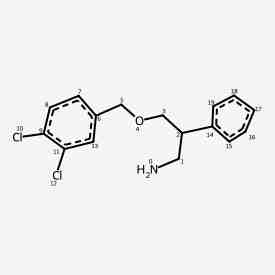 NCC(COCc1ccc(Cl)c(Cl)c1)c1ccccc1